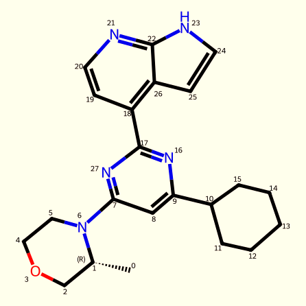 C[C@@H]1COCCN1c1cc(C2CCCCC2)nc(-c2ccnc3[nH]ccc23)n1